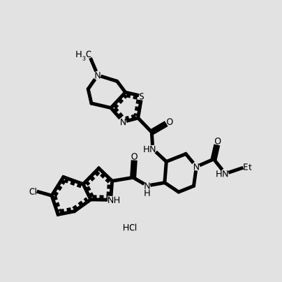 CCNC(=O)N1CCC(NC(=O)c2cc3cc(Cl)ccc3[nH]2)C(NC(=O)c2nc3c(s2)CN(C)CC3)C1.Cl